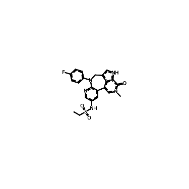 CCS(=O)(=O)Nc1cnc2c(c1)-c1cn(C)c(=O)c3[nH]cc(c13)CN2c1ccc(F)cc1